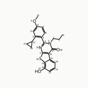 CCCn1c(-c2ccc(OC)cc2C2CC2)nc2sc3c(O)cccc3c2c1=O